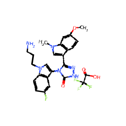 COc1ccc2c(-c3n[nH]c(=O)n3-c3cn(CCCN)c4ccc(F)cc34)cn(C)c2c1.O=C(O)C(F)(F)F